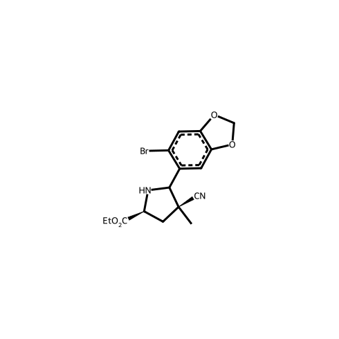 CCOC(=O)[C@@H]1C[C@](C)(C#N)C(c2cc3c(cc2Br)OCO3)N1